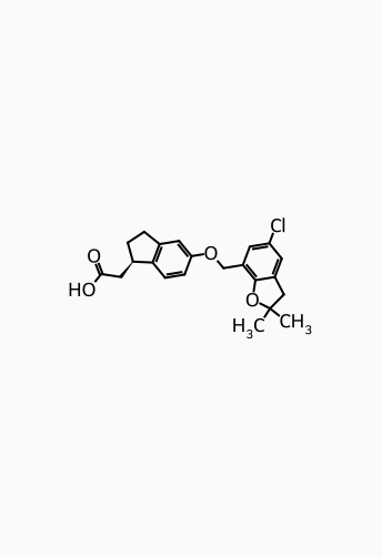 CC1(C)Cc2cc(Cl)cc(COc3ccc4c(c3)CC[C@@H]4CC(=O)O)c2O1